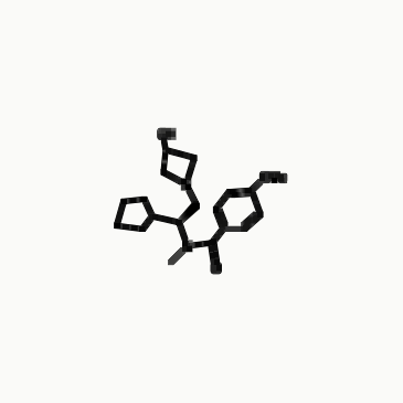 COc1ccc(C(=O)N(C)[C@H](CN2CC(O)C2)C2CCCC2)cc1